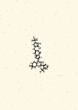 CC(C)(F)c1nocc1C(=O)N[C@H](c1cn2ncc(CN3C[C@@H](C(F)(F)F)NC3=O)cc2n1)C1CCC(F)(F)CC1